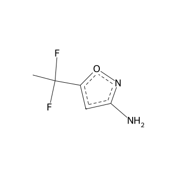 CC(F)(F)c1cc(N)no1